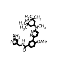 COc1ccc(C(=O)NCc2cnn(C)c2)cc1-c1ccc(N(C)C2CC(C)(C)NC(C)(C)C2)nn1